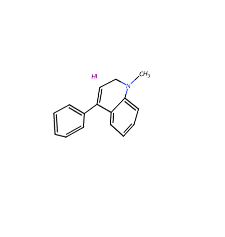 CN1CC=C(c2ccccc2)c2ccccc21.I